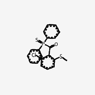 CSc1cccc(Cl)c1C(=O)P(=S)(c1ccccc1)c1ccccc1